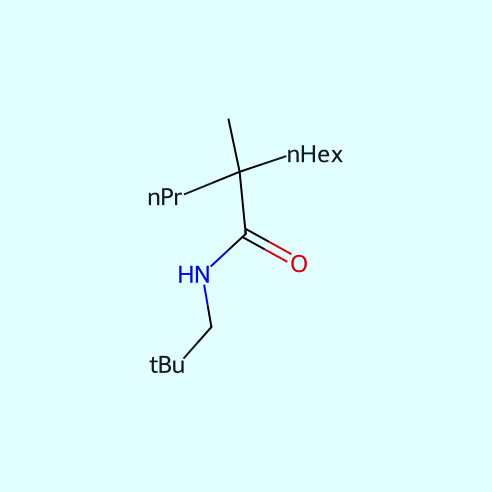 CCCCCCC(C)(CCC)C(=O)NCC(C)(C)C